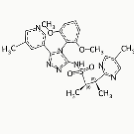 COc1cccc(OC)c1-n1c(NS(=O)(=O)[C@H](C)[C@H](C)c2ncc(C)cn2)nnc1-c1cncc(C)c1